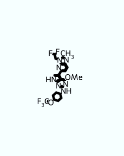 COc1nc(N[C@H]2CC[C@@H](OC(F)(F)F)CC2)nc2[nH]cc(-c3ccc4nc(C)n(CC(F)F)c4n3)c12